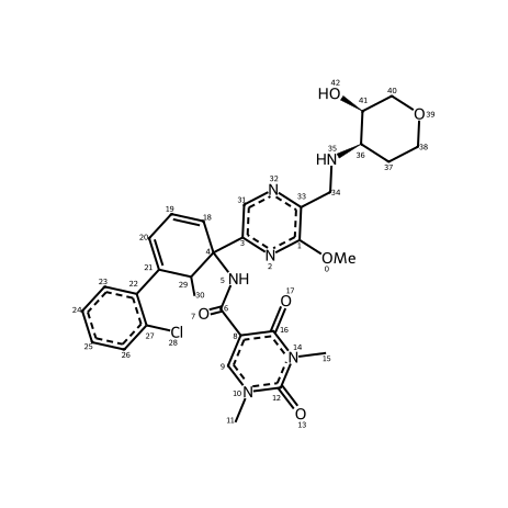 COc1nc(C2(NC(=O)c3cn(C)c(=O)n(C)c3=O)C=CC=C(c3ccccc3Cl)C2C)cnc1CN[C@@H]1CCOC[C@@H]1O